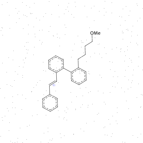 COCCCCc1ccccc1-c1ccccc1/C=C/c1ccccc1